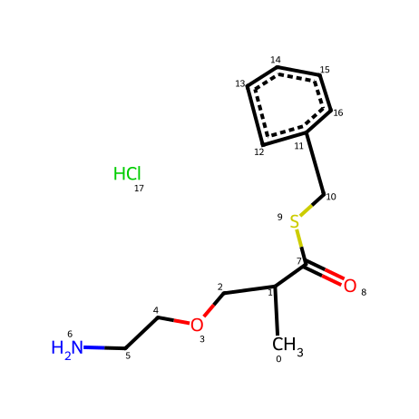 CC(COCCN)C(=O)SCc1ccccc1.Cl